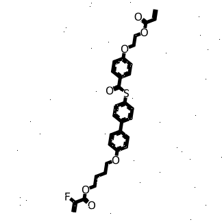 C=CC(=O)OCCOc1ccc(C(=O)Sc2ccc(-c3ccc(OCCCCOC(=O)C(=C)F)cc3)cc2)cc1